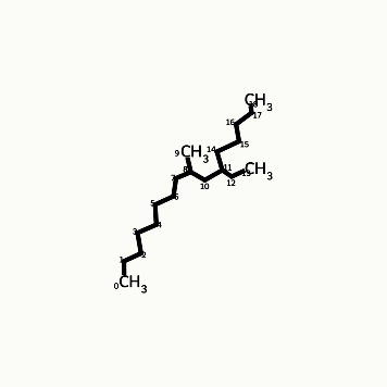 CCCCCCCCC(C)CC(CC)CCCCC